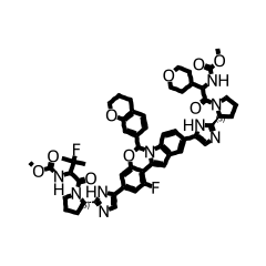 COC(=O)NC(C(=O)N1CCC[C@H]1c1ncc(-c2ccc3c(c2)cc2n3C(c3ccc4c(c3)OCCC4)Oc3cc(-c4cnc([C@@H]5CCCN5C(=O)C(NC(=O)OC)C(C)(C)F)[nH]4)cc(F)c3-2)[nH]1)C1CCOCC1